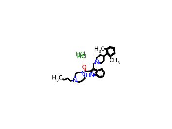 CCCCN1CCCN(C(=O)c2[nH]c3ccccc3c2CN2CCC(c3c(C)cccc3C)CC2)CC1.Cl.Cl